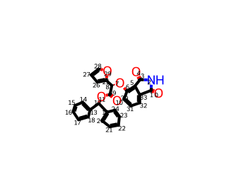 O=C1NC(=O)c2c(O[C@H](C(=O)OC(c3ccccc3)c3ccccc3)c3ccco3)cccc21